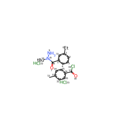 CCc1cccc(C(=O)N(N)C(C)(C)C)c1.Cc1ccc(C(=O)Cl)cc1.Cl.Cl